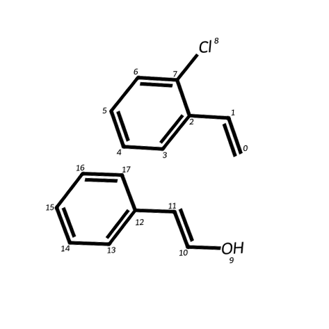 C=Cc1ccccc1Cl.OC=Cc1ccccc1